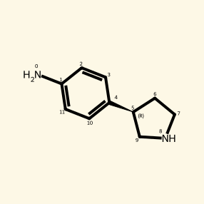 Nc1ccc([C@H]2CCNC2)cc1